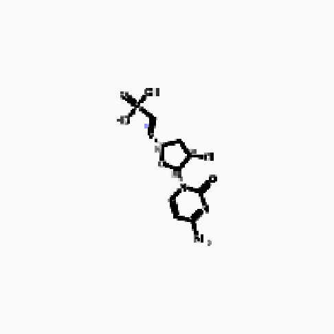 Nc1ccn([C@@H]2O[C@H](/C=C/P(=O)(O)O)C[C@H]2O)c(=O)n1